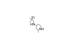 CCC(C)(C)CNC1CCNC(C)C1